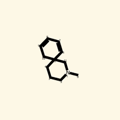 CN1CCCC2(C=CC=CC2)C1